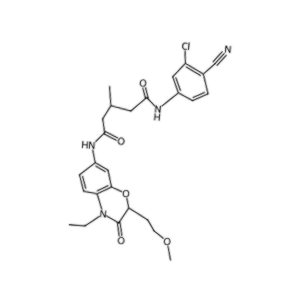 CCN1C(=O)C(CCOC)Oc2cc(NC(=O)CC(C)CC(=O)Nc3ccc(C#N)c(Cl)c3)ccc21